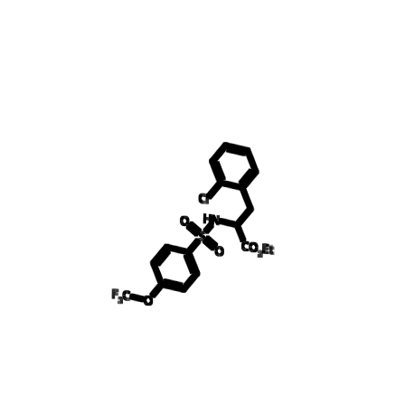 CCOC(=O)C(Cc1ccccc1Cl)NS(=O)(=O)c1ccc(OC(F)(F)F)cc1